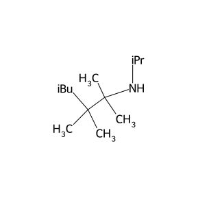 CCC(C)C(C)(C)C(C)(C)NC(C)C